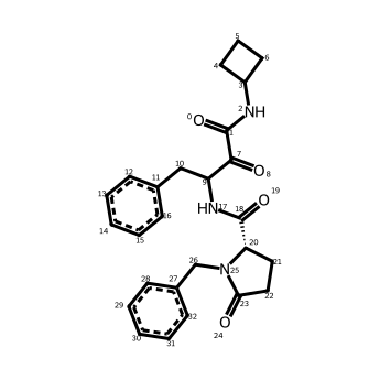 O=C(NC1CCC1)C(=O)C(Cc1ccccc1)NC(=O)[C@@H]1CCC(=O)N1Cc1ccccc1